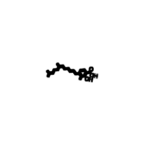 CC(C)=CCCC(C)=CCCC=CCc1ccc(C(=O)O)c(O)c1C